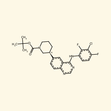 CC(C)(C)OC(=O)N1CCC[C@@H](c2ccc3ncnc(Nc4ccc(F)c(Cl)c4F)c3c2)C1